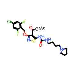 COC(=O)c1c(OCc2c(F)cc(Cl)cc2F)nsc1NC(=O)NCCCCN1CCCC1